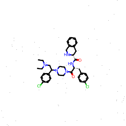 CCN(CC)CC(c1ccc(Cl)cc1)N1CCN(C(=O)[C@@H](Cc2ccc(Cl)cc2)NC(=O)[C@H]2Cc3ccccc3CN2)CC1